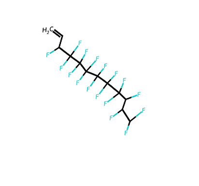 C=CC(F)C(F)(F)C(F)(F)C(F)(F)C(F)(F)C(F)(F)C(F)(F)C(F)C(F)C(F)F